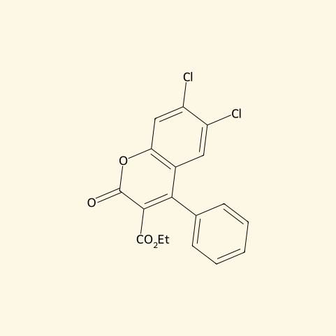 CCOC(=O)c1c(-c2ccccc2)c2cc(Cl)c(Cl)cc2oc1=O